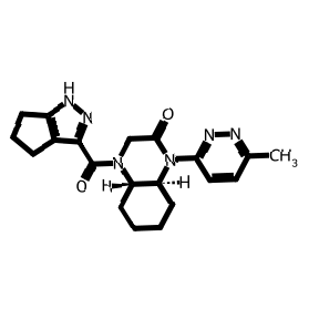 Cc1ccc(N2C(=O)CN(C(=O)c3n[nH]c4c3CCC4)[C@H]3CCCC[C@@H]32)nn1